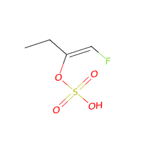 CCC(=CF)OS(=O)(=O)O